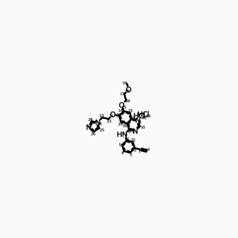 C#Cc1cccc(Nc2ncnc3cc(OCCOC)c(OCCn4ccnc4)cc23)c1.Cl.Cl